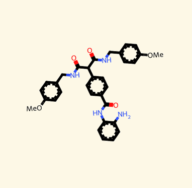 COc1ccc(CNC(=O)C(C(=O)NCc2ccc(OC)cc2)c2ccc(C(=O)Nc3ccccc3N)cc2)cc1